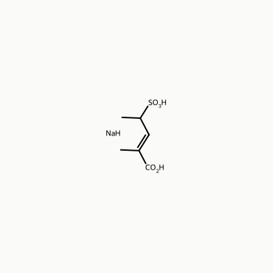 CC(=CC(C)S(=O)(=O)O)C(=O)O.[NaH]